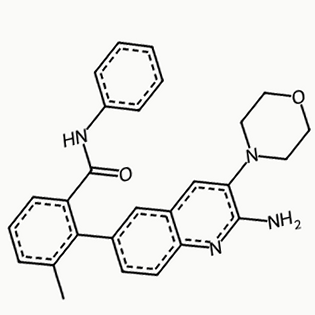 Cc1cccc(C(=O)Nc2ccccc2)c1-c1ccc2nc(N)c(N3CCOCC3)cc2c1